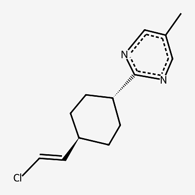 Cc1cnc([C@H]2CC[C@H](/C=C/Cl)CC2)nc1